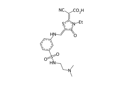 CCn1c(=C(C#N)C(=O)O)sc(=CNc2cccc(S(=O)(=O)NCCN(C)C)c2)c1=O